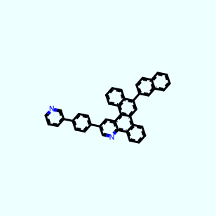 c1cncc(-c2ccc(-c3cnc4c5ccccc5c5cc(-c6ccc7ccccc7c6)c6ccccc6c5c4c3)cc2)c1